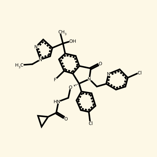 CCn1cc(C(C)(O)c2cc(F)c3c(c2)C(=O)N(Cc2ccc(Cl)cn2)[C@@]3(OCNC(=O)C2CC2)c2ccc(Cl)cc2)cn1